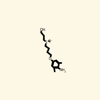 Cc1cc(OCCCC[S+]([O-])CCCO)cc(C)c1N